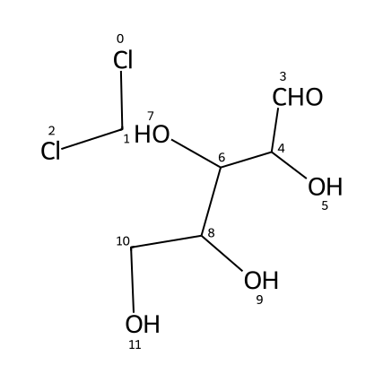 ClCCl.O=CC(O)C(O)C(O)CO